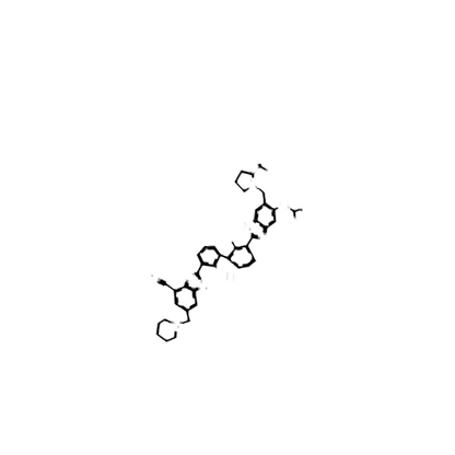 Cc1c(-c2nc3cc(CN4CCC[C@H]4C(=O)O)c(OC(F)F)cc3o2)cccc1-c1cccc(-c2nc3cc(CN4CCCCC4)cc(C#N)c3o2)c1C